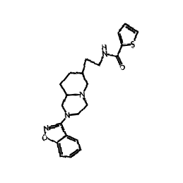 O=C(NCCC1CCC2CN(c3noc4ccccc34)CCN2C1)c1cccs1